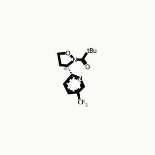 CC(C)(C)C(=O)N1OCC[C@H]1c1ccc(C(F)(F)F)cn1